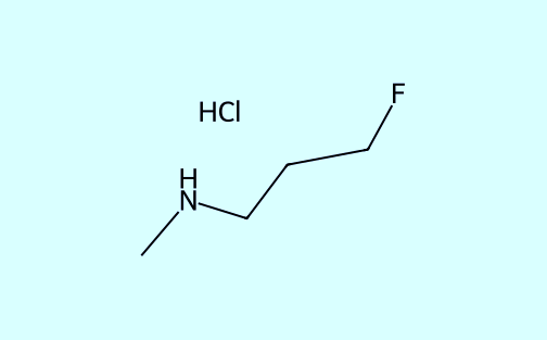 CNCCCF.Cl